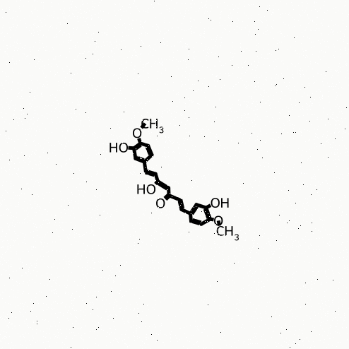 COc1ccc(/C=C/C(=O)/C=C(O)/C=C/c2ccc(OC)c(O)c2)cc1O